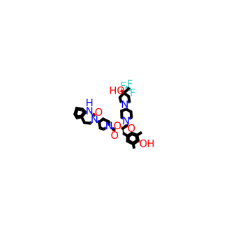 Cc1cc(C[C@@H](OC(=O)N2CCC(N3CCc4ccccc4NC3=O)CC2)C(=O)N2CCC(N3CCC(O)(C(F)(F)F)CC3)CC2)cc(C)c1O